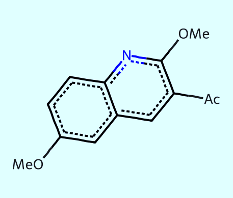 COc1ccc2nc(OC)c(C(C)=O)cc2c1